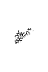 Cc1ccc(-c2nnn[nH]2)c(Oc2nc(Oc3cccc(-c4cccc(CN)c4)c3)c(F)cc2F)c1